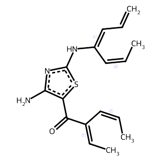 C=C/C=C(\C=C/C)Nc1nc(N)c(C(=O)C(/C=C\C)=C/C)s1